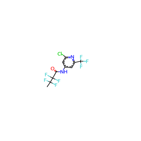 CC(F)(F)C(F)(F)C(=O)Nc1cc(Cl)nc(C(F)(F)F)c1